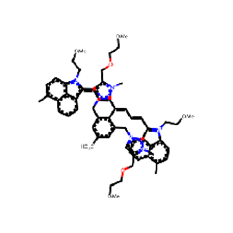 COCCOCc1cn(Cc2cc(C(=O)O)cc(Cn3cc(COCCOC)[n+](C)n3)c2C(=C\C=C\C2=[N+](CCOC)c3ccc(C)c4cccc2c34)/C=C/C=c2\c3cccc4c(C)ccc(c43)n2CCOC)n[n+]1C